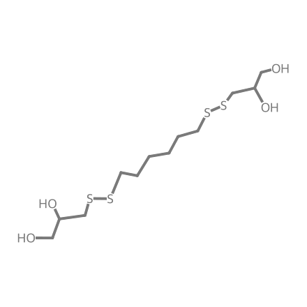 OCC(O)CSSCCCCCCSSCC(O)CO